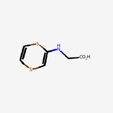 O=C(O)CNC1=CSC=CS1